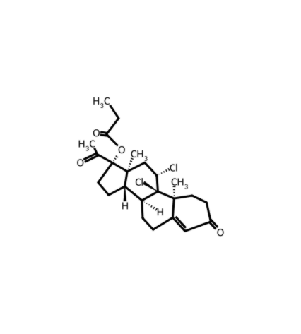 CCC(=O)O[C@@]1(C(C)=O)CC[C@H]2[C@@H]3CCC4=CC(=O)CC[C@]4(C)[C@@]3(Cl)[C@@H](Cl)C[C@@]21C